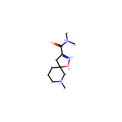 CN1CCCC2(CC(C(=O)N(C)C)=NO2)C1